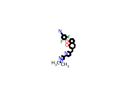 CC(C)n1cc(-c2ccc(CC3=CC(=O)c4c(cccc4Oc4c(F)cc(C#N)cc4F)CC3)cn2)cn1